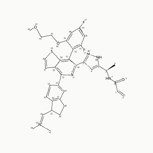 C=CC(=O)N[C@H](C)c1cc(-c2nc(-c3ccc4c(c3)CCC4C=[N+](C)C)c3ccsc3c2-c2c(F)cc(F)cc2OCCOC)n[nH]1